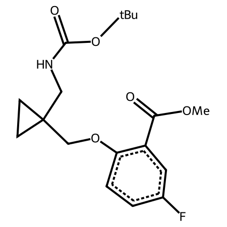 COC(=O)c1cc(F)ccc1OCC1(CNC(=O)OC(C)(C)C)CC1